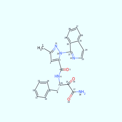 Cc1cc(C(=O)N[C@@H](Cc2ccccc2)C(=O)C(N)=O)n(-c2nccc3ccccc23)n1